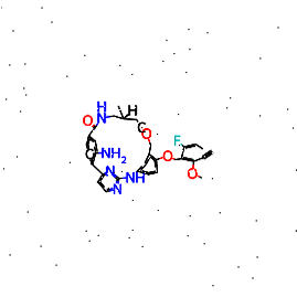 C#C/C(OC)=C(COc1ccc2cc1COCC[C@@H](C)CNC(=O)c1ccc(c(N)c1)-c1ccnc(n1)N2)\C(F)=C/C